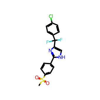 CS(=O)(=O)c1ccc(-c2nc(C(F)(F)c3ccc(Cl)cc3)c[nH]2)cc1